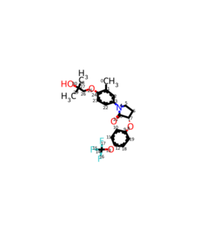 Cc1cc(N2CC[C@H](Oc3ccc(OC(F)(F)F)cc3)C2=O)ccc1OCC(C)(C)O